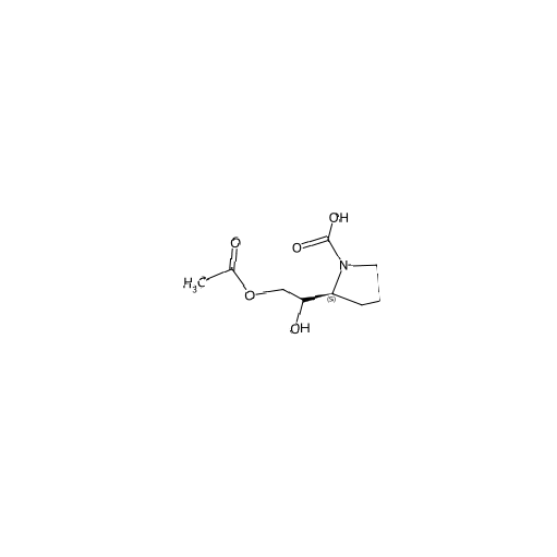 CC(=O)OCC(O)[C@@H]1CCCN1C(=O)O